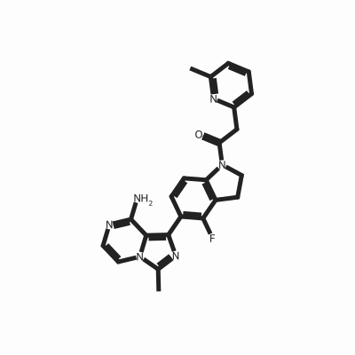 Cc1cccc(CC(=O)N2CCc3c2ccc(-c2nc(C)n4ccnc(N)c24)c3F)n1